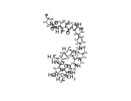 Cc1ncsc1-c1ccc(C(C)NC(=O)[C@@H]2C[C@@H](O)CN2C(=O)C(NC(=O)CN2CCCN(CC3CCN(c4ccc(-c5cnc6[nH]cc(C(=O)c7c(F)ccc(NS(=O)(=O)N8CC[C@@H](F)C8)c7F)c6c5)cc4)CC3)CC2)C(C)(C)C)cc1